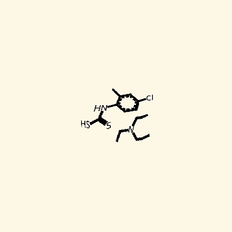 CCN(CC)CC.Cc1cc(Cl)ccc1NC(=S)S